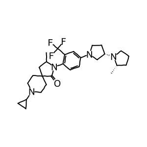 CC1CC2(CCN(C3CC3)CC2)C(=O)N1c1ccc(N2CC[C@H](N3CCC[C@@H]3C)C2)cc1C(F)(F)F